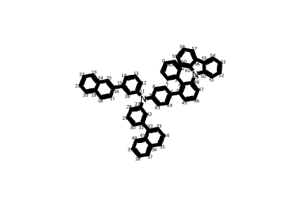 c1ccc(-c2c(-c3ccc(N(c4cccc(-c5ccc6ccccc6c5)c4)c4cccc(-c5cccc6ccccc56)c4)cc3)cccc2-n2c3ccccc3c3ccccc32)cc1